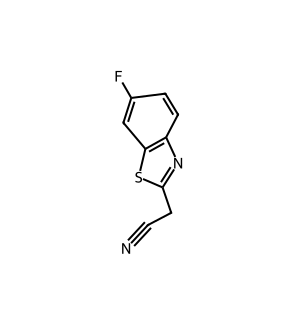 N#CCc1nc2ccc(F)cc2s1